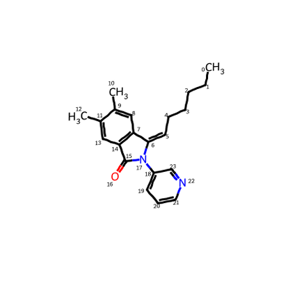 CCCCC/C=C1\c2cc(C)c(C)cc2C(=O)N1c1cccnc1